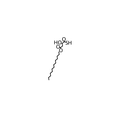 CCCCCCCCCCCCCCOC(=O)CC(O)C(=O)S